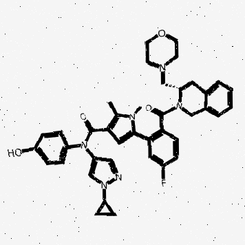 Cc1c(C(=O)N(c2ccc(O)cc2)c2cnn(C3CC3)c2)cc(-c2cc(F)ccc2C(=O)N2Cc3ccccc3C[C@H]2CN2CCOCC2)n1C